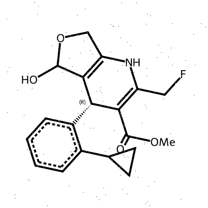 COC(=O)C1=C(CF)NC2=C(C(O)OC2)[C@H]1c1ccccc1C1CC1